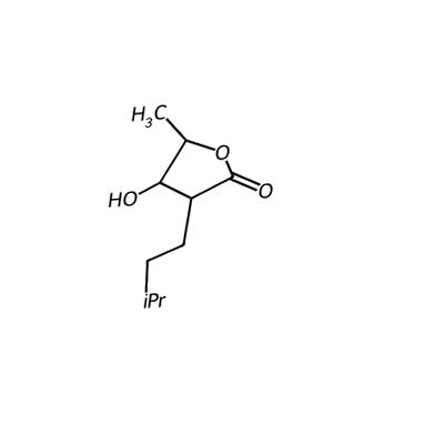 CC(C)CCC1C(=O)OC(C)C1O